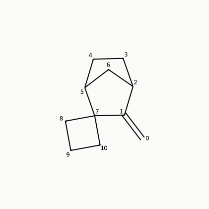 C=C1C2CCC(C2)C12CCC2